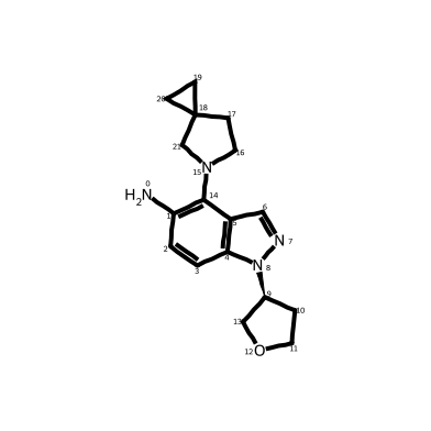 Nc1ccc2c(cnn2[C@H]2CCOC2)c1N1CCC2(CC2)C1